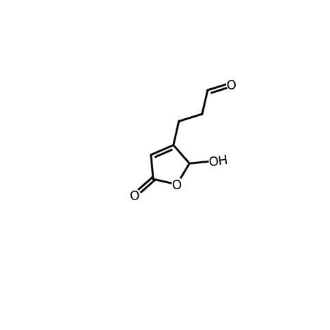 O=CCCC1=CC(=O)OC1O